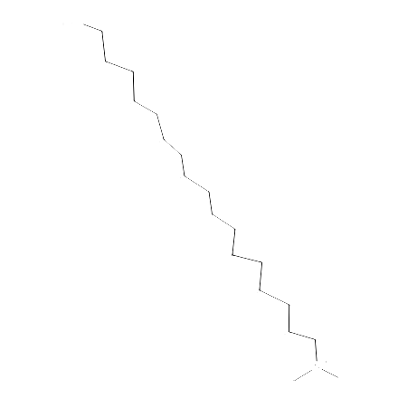 CCCCCCCCCCCCCCCCCCCCCCCCCCCN(C)C.Cl